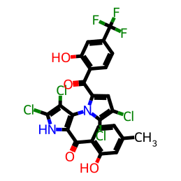 Cc1ccc(C(=O)c2[nH]c(Cl)c(Cl)c2-n2c(C(=O)c3ccc(C(F)(F)F)cc3O)cc(Cl)c2Cl)c(O)c1